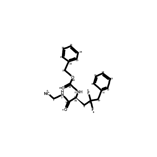 N#CCNC(=O)[C@H](CC(F)(F)Cc1ccccc1)NC(=O)OCc1ccccc1